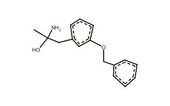 CC(N)(O)Cc1cccc(OCc2ccccc2)c1